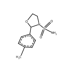 Cc1ccc(C2OCCN2S(N)(=O)=O)cc1